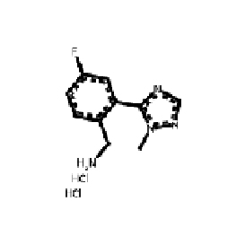 Cl.Cl.Cn1ncnc1-c1cc(F)ccc1CN